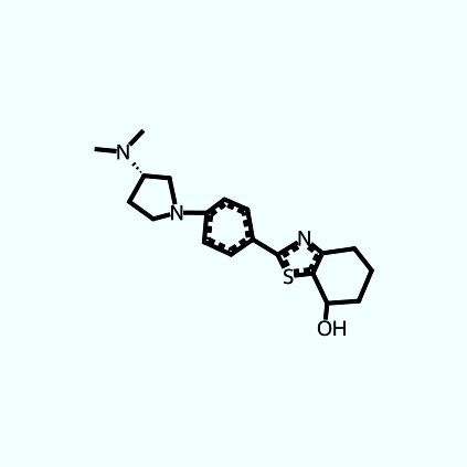 CN(C)[C@H]1CCN(c2ccc(-c3nc4c(s3)C(O)CCC4)cc2)C1